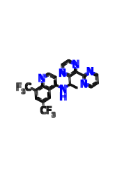 CC(Nc1ccnc2c(C(F)(F)F)cc(C(F)(F)F)cc12)c1nccnc1-c1ncccn1